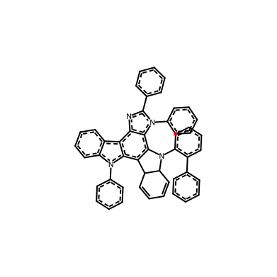 C1=CC2c3c(c4c(nc(-c5ccccc5)n4-c4ccccc4)c4c5ccccc5n(-c5ccccc5)c34)N(c3ccccc3-c3ccccc3)C2C=C1